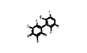 Fc1cc(F)c(F)c(-c2c(F)c(F)c(F)c(F)c2F)c1F